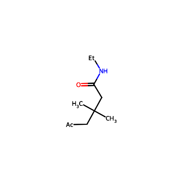 CCNC(=O)CC(C)(C)CC(C)=O